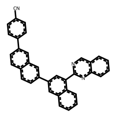 N#Cc1ccc(-c2ccc3ccc(-c4cc(-c5ncc6ccccc6n5)c5ccccc5c4)cc3c2)cc1